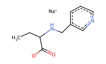 CCC(NCc1cccnc1)C(=O)[O-].[Na+]